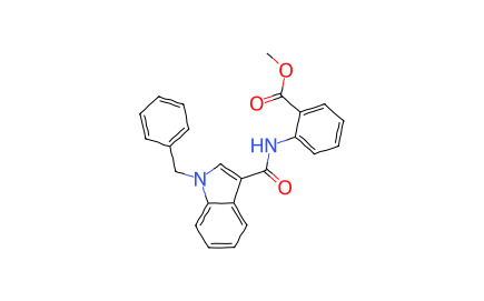 COC(=O)c1ccccc1NC(=O)c1cn(Cc2ccccc2)c2ccccc12